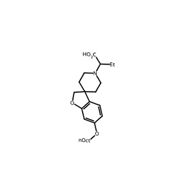 CCCCCCCCOc1ccc2c(c1)OCC21CCN(C(CC)C(=O)O)CC1